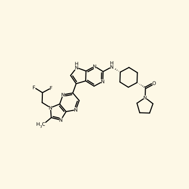 Cc1nc2ncc(-c3c[nH]c4nc(N[C@H]5CC[C@@H](C(=O)N6CCCC6)CC5)ncc34)nc2n1CC(F)F